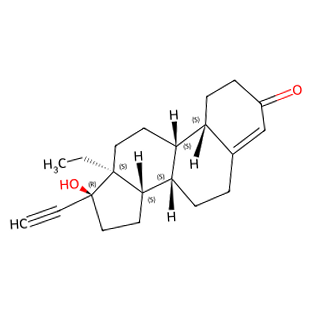 C#C[C@@]1(O)CC[C@H]2[C@H]3CCC4=CC(=O)CC[C@H]4[C@H]3CC[C@@]21CC